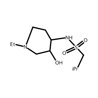 CCN1CCC(NS(=O)(=O)CC(C)C)C(O)C1